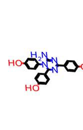 NC1=NC(c2ccc(O)cc2)=NC(c2ccc(O)cc2)N1c1ccc(O)cc1